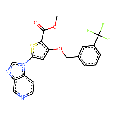 COC(=O)c1sc(-n2cnc3cnccc32)cc1OCc1cccc(C(F)(F)F)c1